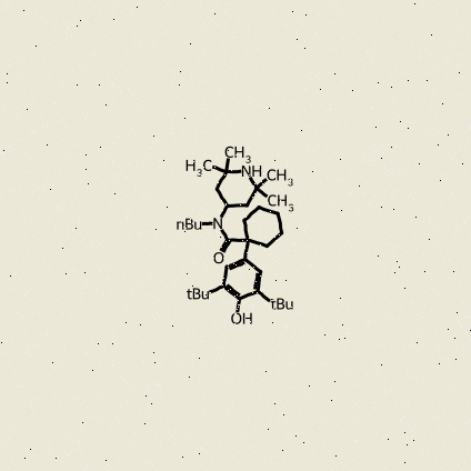 CCCCN(C(=O)C1(c2cc(C(C)(C)C)c(O)c(C(C)(C)C)c2)CCCCC1)C1CC(C)(C)NC(C)(C)C1